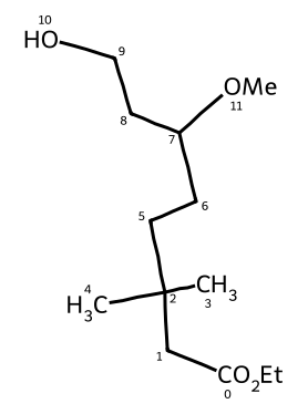 CCOC(=O)CC(C)(C)CCC(CCO)OC